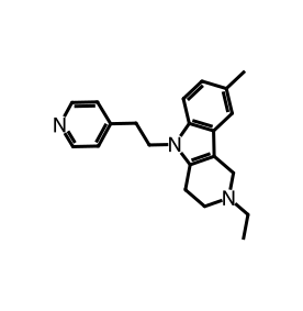 CCN1CCc2c(c3cc(C)ccc3n2CCc2ccncc2)C1